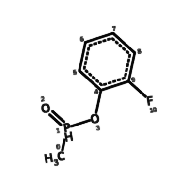 C[PH](=O)Oc1ccccc1F